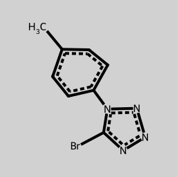 Cc1ccc(-n2nnnc2Br)cc1